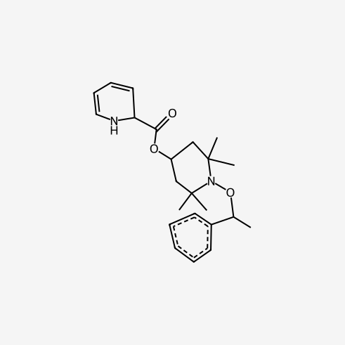 CC(ON1C(C)(C)CC(OC(=O)C2C=CC=CN2)CC1(C)C)c1ccccc1